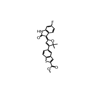 COC(=O)c1cc2cc(C3=C/C(=C4\C(=O)Nc5cc(F)ccc54)OC3(C)C)ccc2s1